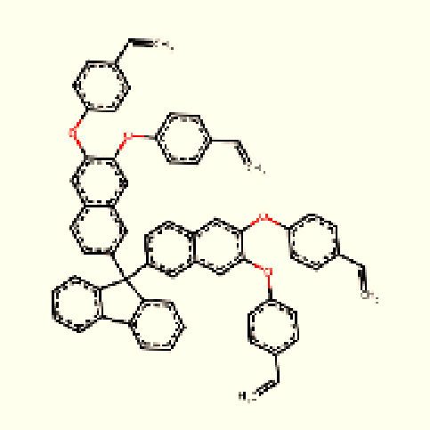 C=Cc1ccc(Oc2cc3ccc(C4(c5ccc6cc(Oc7ccc(C=C)cc7)c(Oc7ccc(C=C)cc7)cc6c5)c5ccccc5-c5ccccc54)cc3cc2Oc2ccc(C=C)cc2)cc1